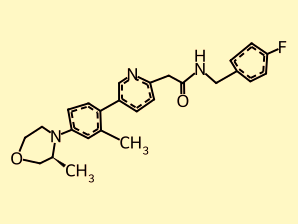 Cc1cc(N2CCOC[C@@H]2C)ccc1-c1ccc(CC(=O)NCc2ccc(F)cc2)nc1